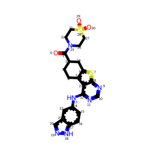 O=C(C1CCc2c(sc3ncnc(Nc4ccc5[nH]ncc5c4)c23)C1)N1CCS(=O)(=O)CC1